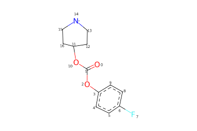 O=C(Oc1ccc(F)cc1)OC1CC[N]CC1